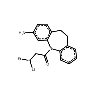 CCN(CC)CC(=O)N1c2ccccc2CCc2ccc(N)cc21